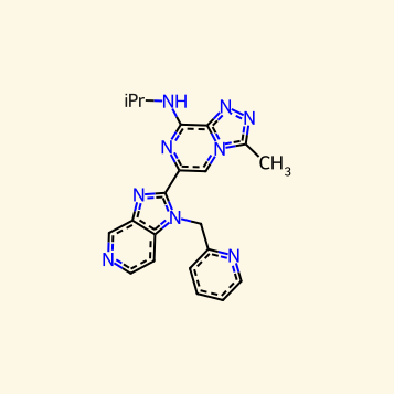 Cc1nnc2c(NC(C)C)nc(-c3nc4cnccc4n3Cc3ccccn3)cn12